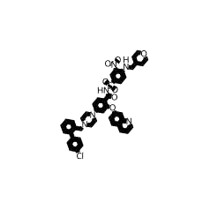 O=C(NS(=O)(=O)c1ccc(NCC2CCOCC2)c([N+](=O)[O-])c1)c1ccc(N2CCN(Cc3ccccc3-c3ccc(Cl)cc3)CC2)cc1Oc1ccc2cccnc2c1